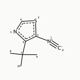 [C-]#[N+]c1scnc1C(C)(C)C